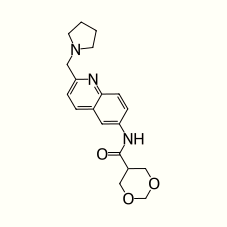 O=C(Nc1ccc2nc(CN3CCCC3)ccc2c1)C1COCOC1